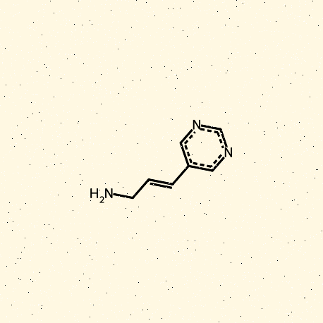 NC/C=C/c1cncnc1